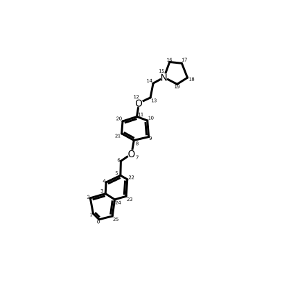 c1ccc2cc(COc3ccc(OCCN4CCCC4)cc3)ccc2c1